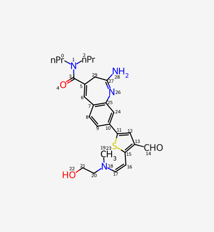 CCCN(CCC)C(=O)C1=Cc2ccc(-c3cc(C=O)c(/C=C\N(C)CCO)s3)cc2N=C(N)C1